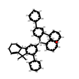 CC1(C)C2=CCCC=C2c2cc(N(c3ccccc3)c3ccc(-c4ccccc4)cc3-c3ccccc3)cc(-c3ccccc3)c21